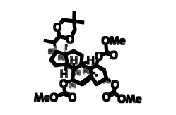 COC(=O)O[C@@H]1CC2=C[C@@H](OC(=O)OC)[C@H]3[C@@H]4CC[C@H](C(C)C5OCC(C)(C)CO5)[C@@]4(C)CC[C@@H]3[C@@]2(C)[C@@H](OC(=O)OC)C1